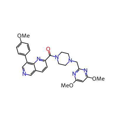 COc1ccc(-c2cncc3ccc(C(=O)N4CCN(Cc5nc(OC)cc(OC)n5)CC4)nc23)cc1